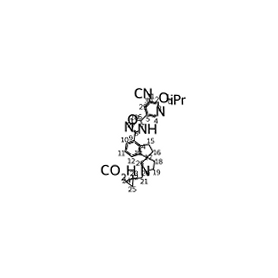 CC(C)Oc1ncc(C2NC(c3cccc4c3CCC43CCN(CC4(C(=O)O)CC4)C3)=NO2)cc1C#N